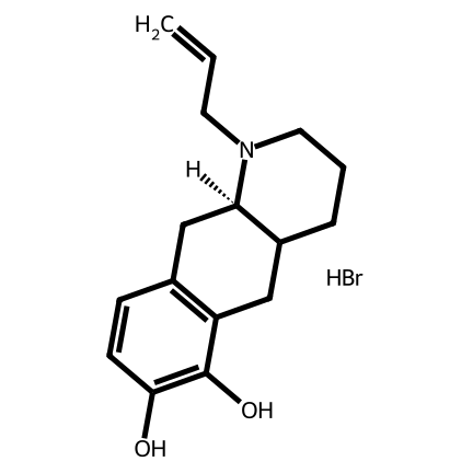 Br.C=CCN1CCCC2Cc3c(ccc(O)c3O)C[C@H]21